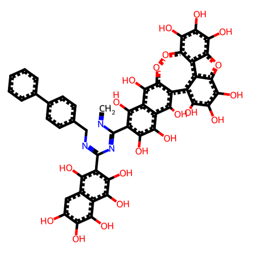 C=N/C(=N\C(=N/Cc1ccc(-c2ccccc2)cc1)c1c(O)c(O)c2c(O)c(O)c(O)cc2c1O)c1c(O)c(O)c2c(O)c3c(ooc4c(O)c(O)c(O)c5oc6c(O)c(O)c(O)c3c6c45)c(O)c2c1O